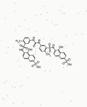 Cc1ccc(NC(=O)Nc2ccc(C)c(S(=O)(=O)Nc3ccc4cc(S(=O)(=O)O)ccc4c3O)c2)cc1S(=O)(=O)Nc1ccc2cc(S(=O)(=O)O)ccc2c1O